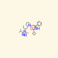 CCC(CC1CCCN1CC[C@H](NC(=O)C1CCC1)c1ccccc1)n1c(C)nnc1C(C)C